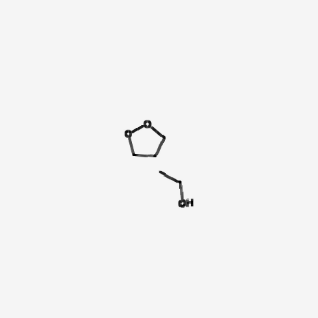 C1COOC1.CCO